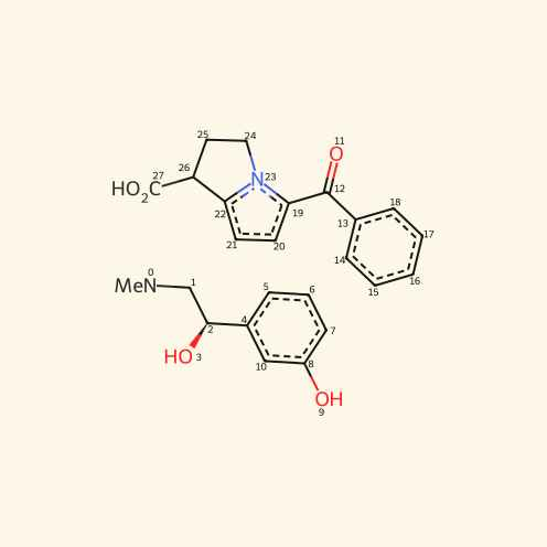 CNC[C@H](O)c1cccc(O)c1.O=C(c1ccccc1)c1ccc2n1CCC2C(=O)O